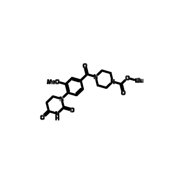 COc1cc(C(=O)N2CCN(C(=O)OC(C)(C)C)CC2)ccc1N1CCC(=O)NC1=O